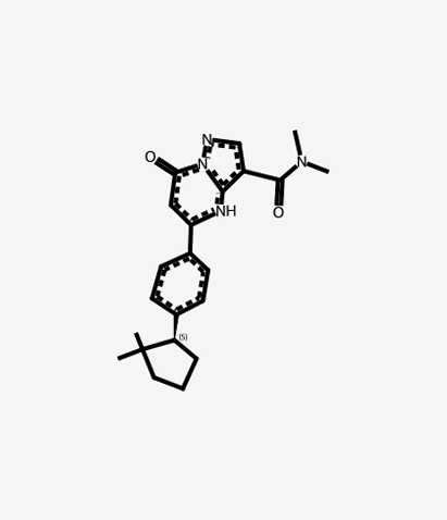 CN(C)C(=O)c1cnn2c(=O)cc(-c3ccc([C@H]4CCCC4(C)C)cc3)[nH]c12